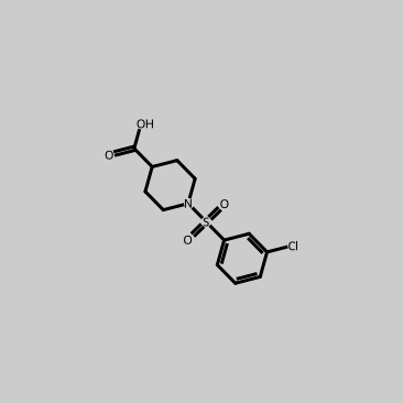 O=C(O)C1CCN(S(=O)(=O)c2cccc(Cl)c2)CC1